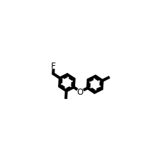 Cc1ccc(Oc2ccc(CF)cc2C)cc1